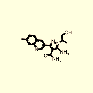 Cc1ccc2cc(-c3nn(C(C)CO)c(N)c3C(N)=O)cnc2c1